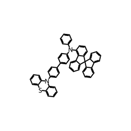 c1ccc(N(c2ccc(-c3ccc(N4c5ccccc5Sc5ccccc54)cc3)cc2)c2cccc3c2-c2ccccc2C32c3ccccc3-c3ccccc32)cc1